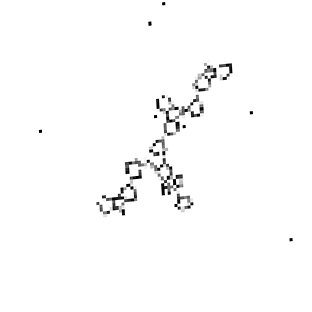 c1ccc(-c2nc3cc4c(cc3o2)c2cc(-c3ccc5c(c3)c3ccccc3n5-c3cccc(-c5ccc6sc7ccccc7c6c5)c3)ccc2n4-c2cccc(-c3ccc4sc5ccccc5c4c3)c2)cc1